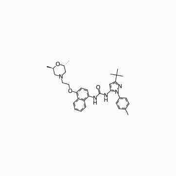 Cc1ccc(-n2nc(C(C)(C)C)cc2NC(=O)Nc2ccc(OCCN3C[C@@H](C)O[C@H](C)C3)c3ccccc23)cc1